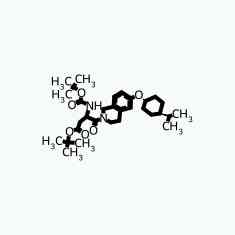 CC(C)[C@H]1CC[C@H](Oc2ccc3c(c2)CCN(C(=O)C(CC(=O)OC(C)(C)C)NC(=O)OC(C)(C)C)C3)CC1